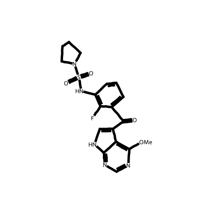 COc1ncnc2[nH]cc(C(=O)c3cccc(NS(=O)(=O)N4CCCC4)c3F)c12